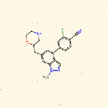 Cn1ncc2c(-c3ccc(C#N)c(F)c3)cc(CC3CNCCO3)cc21